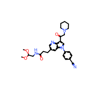 COC(CNC(=O)CCc1cnc2c(C(=O)CN3CCCCC3)cn(-c3ccc(C#N)cc3)c2c1)OC